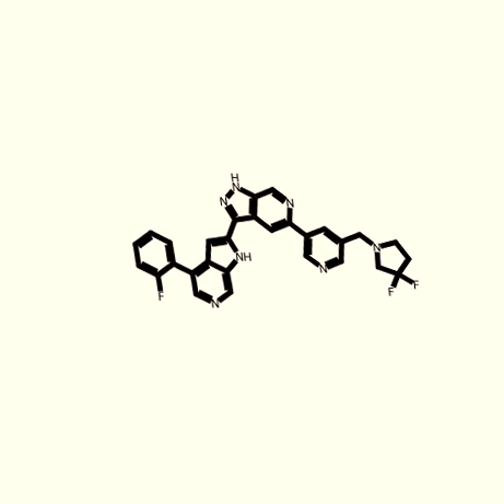 Fc1ccccc1-c1cncc2[nH]c(-c3n[nH]c4cnc(-c5cncc(CN6CCC(F)(F)C6)c5)cc34)cc12